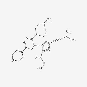 COC(=O)c1sc(C#CC(C)C)cc1N(CC(=O)N1CCOCC1)C(=O)C1CCC(C)CC1